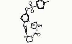 Cc1ccc(S(=O)(=O)Oc2ccc(C)c([C@@H]3CN[C@H](C(=O)N4CCC[C@H]4C#N)C3)c2)cc1